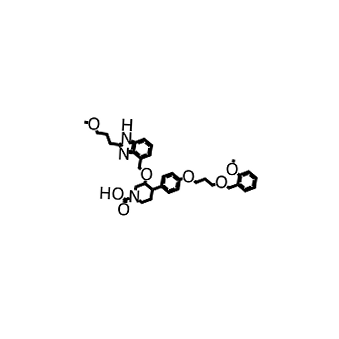 COCCCc1nc2c(COC3CN(C(=O)O)CCC3c3ccc(OCCCOCc4ccccc4OC)cc3)cccc2[nH]1